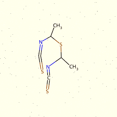 CC(N=C=S)SC(C)N=C=S